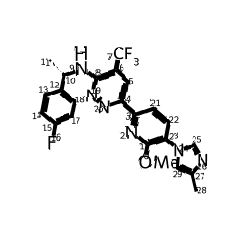 COc1nc(-c2cc(C(F)(F)F)c(N[C@@H](C)c3ccc(F)cc3)nn2)ccc1-n1cnc(C)c1